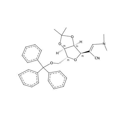 CN(C)C=C(C#N)[C@H]1O[C@H](COC(c2ccccc2)(c2ccccc2)c2ccccc2)[C@H]2OC(C)(C)O[C@H]21